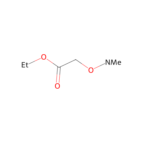 CCOC(=O)CONC